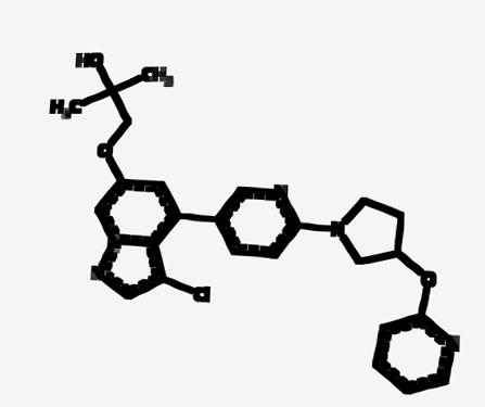 CC(C)(O)COc1cc(-c2ccc(N3CCC(Oc4ccccn4)C3)nc2)c2c(Cl)cnn2c1